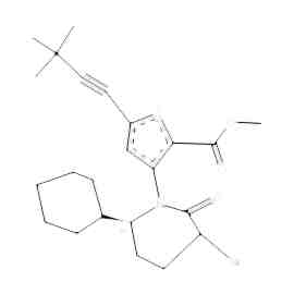 COC(=O)c1sc(C#CC(C)(C)C)cc1N1C(=O)C(Br)CC[C@H]1C1CCCCC1